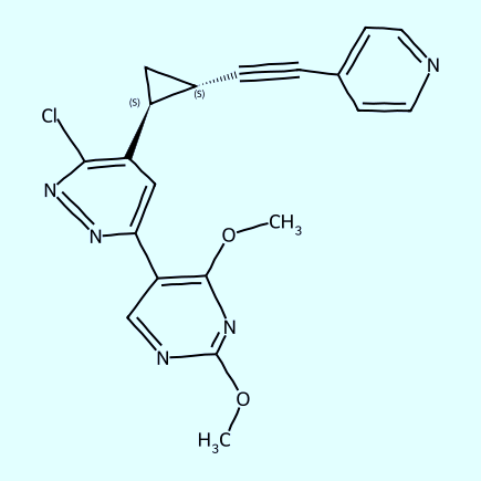 COc1ncc(-c2cc([C@H]3C[C@@H]3C#Cc3ccncc3)c(Cl)nn2)c(OC)n1